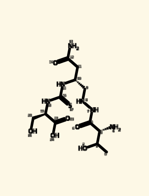 CC(O)[C@@H](N)C(=O)NNC[C@@H](CC(N)=O)NC(=S)N[C@H](CO)C(=O)O